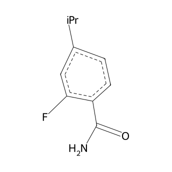 CC(C)c1ccc(C(N)=O)c(F)c1